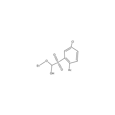 CCOC(O)S(=O)(=O)c1cc(Cl)ccc1C(C)=O